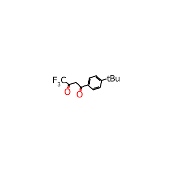 CC(C)(C)c1ccc(C(=O)CC(=O)C(F)(F)F)cc1